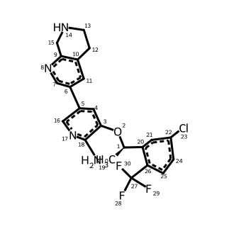 C[C@@H](Oc1cc(-c2cnc3c(c2)CCNC3)cnc1N)c1cc(Cl)ccc1C(F)(F)F